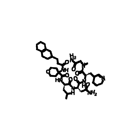 CC(C)C[C@H](NC(=O)C1(NC(=O)CCC2CCC3=C(CCCC3)C2)CCOCC1)C(=O)N[C@@H](CC(N)=O)C(=O)N[C@@H](CC1C=NCCC1)C(=O)N(C)CC(N)=O